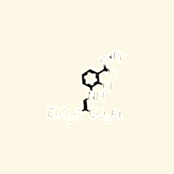 CCOC(=O)C(=CNc1cccc(C(=O)OC(C)C)c1Cl)C(=O)OCC